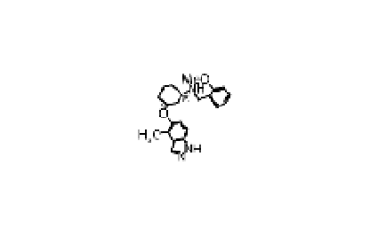 COc1ccccc1CN[C@@H]1CCC[C@H](Oc2ccc3[nH]ncc3c2C)C1